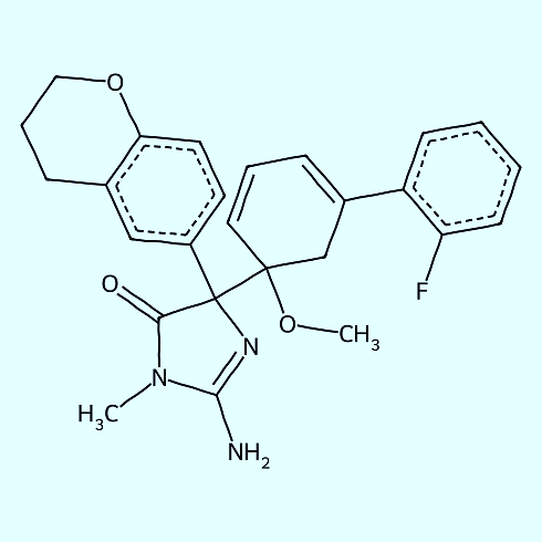 COC1(C2(c3ccc4c(c3)CCCO4)N=C(N)N(C)C2=O)C=CC=C(c2ccccc2F)C1